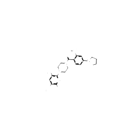 Cc1cc(C)c(N2CCN(C(=O)c3ccc(N4CCCS4)cc3[S+](C)[O-])CC2)nc1C